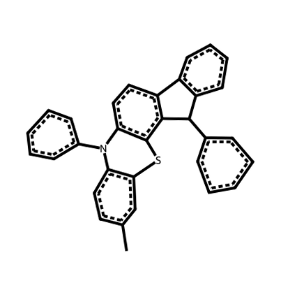 Cc1ccc2c(c1)Sc1c(ccc3c1C(c1ccccc1)c1ccccc1-3)N2c1ccccc1